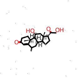 CC1C[C@@H]2[C@H]([C@@H](O)C[C@]3(C)[C@@H](C(=O)CO)CC[C@@H]23)[C@@]2(C)CCC(=O)C=C12